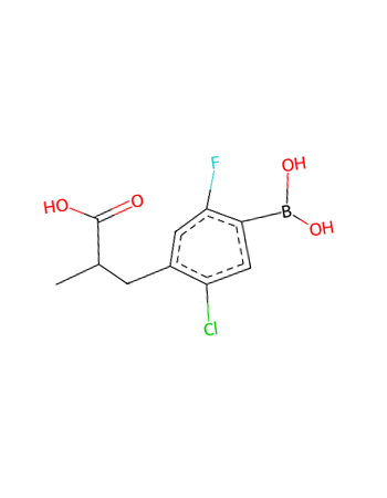 CC(Cc1cc(F)c(B(O)O)cc1Cl)C(=O)O